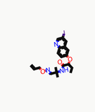 C=CCON=CC(C)(C)NC(=O)C(CC)Oc1ccc2ncc(I)cc2c1